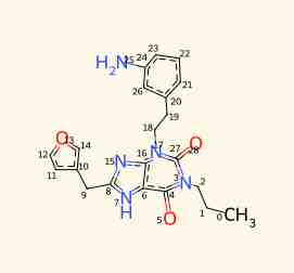 CCCn1c(=O)c2[nH]c(Cc3ccoc3)nc2n(CCc2cccc(N)c2)c1=O